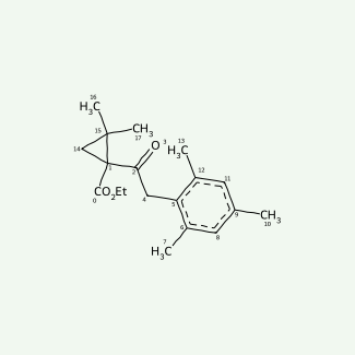 CCOC(=O)C1(C(=O)Cc2c(C)cc(C)cc2C)CC1(C)C